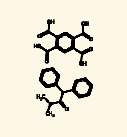 CN(C)C(=O)C(c1ccccc1)c1ccccc1.O=C(O)c1cc(C(=O)O)c(C(=O)O)cc1C(=O)O